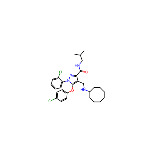 CC(C)CNC(=O)c1nn(-c2ccccc2Cl)c(Oc2ccc(Cl)cc2)c1CNC1CCCCCCC1